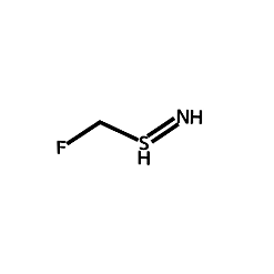 N=[SH]CF